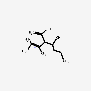 C=C(C)C(/C(C)=C(/C)N)C(C)CCC